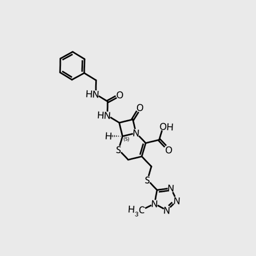 Cn1nnnc1SCC1=C(C(=O)O)N2C(=O)C(NC(=O)NCc3ccccc3)[C@@H]2SC1